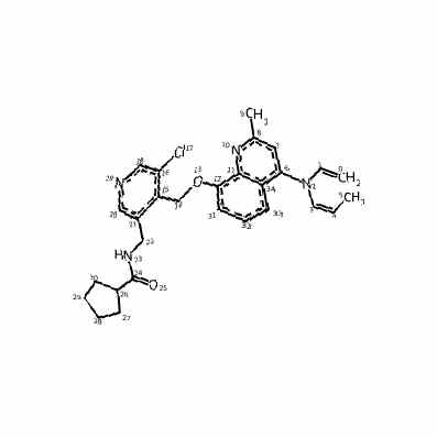 C=CN(/C=C\C)c1cc(C)nc2c(OCc3c(Cl)cncc3CNC(=O)C3CCCC3)cccc12